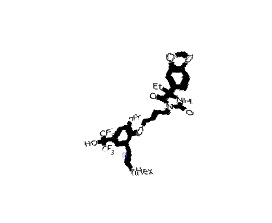 CCCCCC/C=C/c1cc(C(O)(C(F)(F)F)C(F)(F)F)cc(CCC)c1OCCCCN1C(=O)NC(CC)(c2ccc3c(c2)OCO3)C1=O